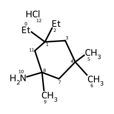 CCC1(CC)CC(C)(C)CC(C)(N)C1.Cl